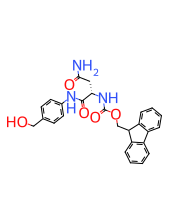 NC(=O)C[C@H](NC(=O)OCC1c2ccccc2-c2ccccc21)C(=O)Nc1ccc(CO)cc1